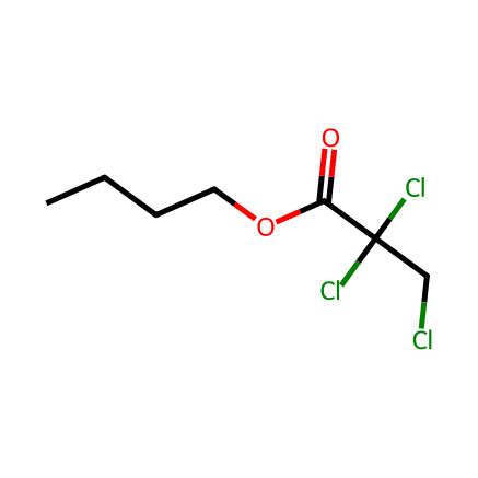 CCCCOC(=O)C(Cl)(Cl)CCl